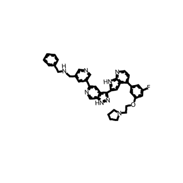 Fc1cc(OCCN2CCCC2)cc(-c2ccnc3[nH]c(-c4n[nH]c5cnc(-c6cncc(CNCc7ccccc7)c6)cc45)cc23)c1